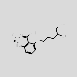 CCC(CO)CCCOc1cccc2c1C(N)=NS(=O)(=O)N2